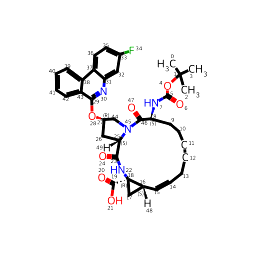 CC(C)(C)OC(=O)N[C@H]1CCCCCC=C[C@@H]2C[C@@]2(C(=O)O)NC(=O)[C@@H]2C[C@@H](Oc3nc4cc(F)ccc4c4ccccc34)CN2C1=O